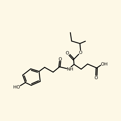 CCC(C)OC(=O)C(CCC(=O)O)NC(=O)CCc1ccc(O)cc1